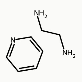 NCCN.c1ccncc1